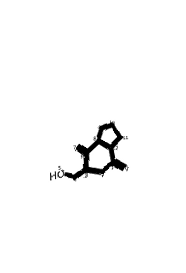 C=C1CC(CO)C(=C)C2CCCC12